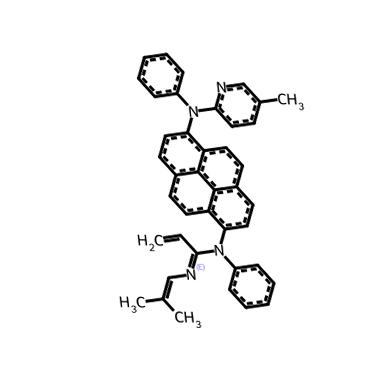 C=C/C(=N\C=C(C)C)N(c1ccccc1)c1ccc2ccc3c(N(c4ccccc4)c4ccc(C)cn4)ccc4ccc1c2c43